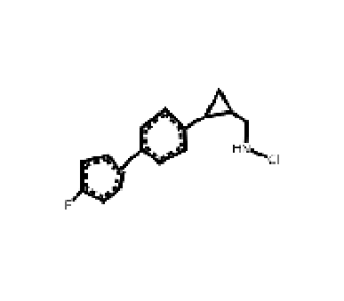 Fc1ccc(-c2ccc(C3CC3CNCl)cc2)cc1